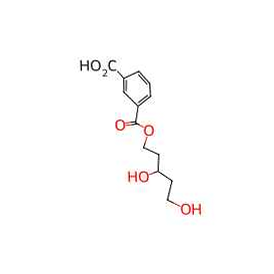 O=C(O)c1cccc(C(=O)OCCC(O)CCO)c1